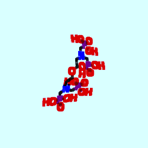 O=P(O)(O)CN(CCOCCN(CP(=O)(O)O)CP(=O)(O)O)CP(=O)(O)O